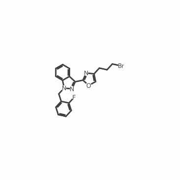 Fc1ccccc1Cn1nc(-c2nc(CCCBr)co2)c2ccccc21